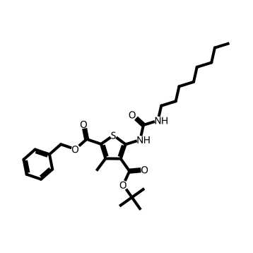 CCCCCCCCNC(=O)Nc1sc(C(=O)OCc2ccccc2)c(C)c1C(=O)OC(C)(C)C